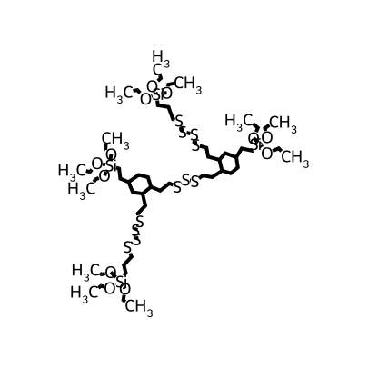 CCO[Si](CCCSSSSCCC1CC(CC[Si](OCC)(OCC)OCC)CCC1CCSSSCCC1CCC(CC[Si](OCC)(OCC)OCC)CC1CCSSSSCCC[Si](OCC)(OCC)OCC)(OCC)OCC